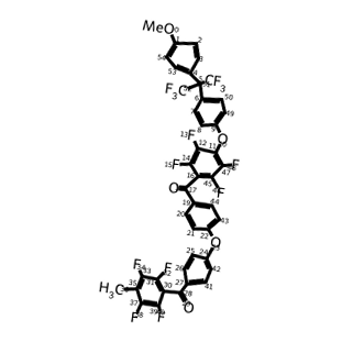 COc1ccc(C(c2ccc(Oc3c(F)c(F)c(C(=O)c4ccc(Oc5ccc(C(=O)c6c(F)c(F)c(C)c(F)c6F)cc5)cc4)c(F)c3F)cc2)(C(F)(F)F)C(F)(F)F)cc1